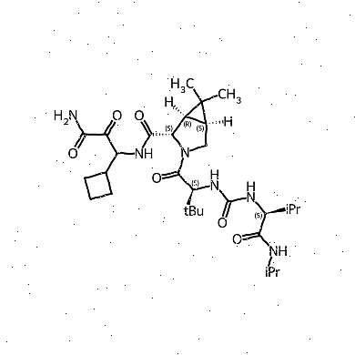 CC(C)NC(=O)[C@@H](NC(=O)N[C@H](C(=O)N1C[C@H]2[C@@H]([C@H]1C(=O)NC(C(=O)C(N)=O)C1CCC1)C2(C)C)C(C)(C)C)C(C)C